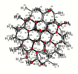 BB(B)BB(B(B(B)B)B(B)B)B(B(B)B)B(B(B(B)B)B(B)B)B(B(B(B(B)B)B(B)B)B(B(B)B)B(B)B)B(B(B(B(B(B)B)B(B)B)B(B(B)B)B(B)B)B(B(B(B)B)B(B)B)B(B(B)B)B(B)B)B(B(B(B(B(B)B)B(B)B)B(B(B)B)B(B)B)B(B(B(B)B)B(B)B)B(B(B)B)B(B)B)B(B(B(B(B)B)B(B)B)B(B(B)B)B(B)B)B(B(B(B)B)B(B)B)B(B(B)B)B(B)B